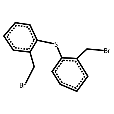 BrCc1ccccc1Sc1ccccc1CBr